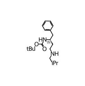 CC(C)CNCC[C@H](Cc1ccccc1)NC(=O)OC(C)(C)C